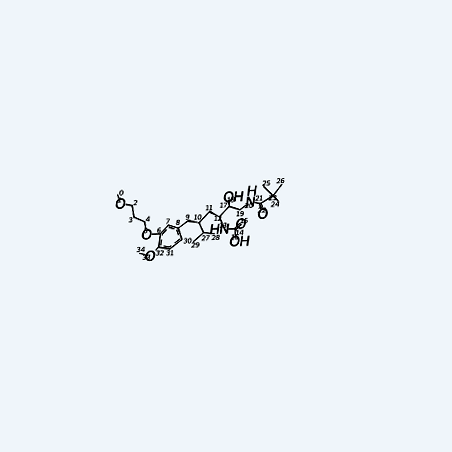 COCCCOc1cc(C[C@@H](C[C@H](NC(=O)O)[C@@H](O)CNC(=O)C(C)(C)C)C(C)C)ccc1OC